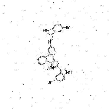 Brc1ccc2[nH]cc(C=Nc3ccc4c(c3)c3ccccc3c3[nH]c(-c5c[nH]c6ccc(Br)cc56)nc43)c2c1